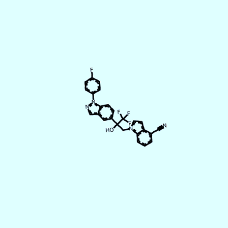 N#Cc1cccc2c1ccn2CC(O)(c1ccc2c(cnn2-c2ccc(F)cc2)c1)C(F)(F)F